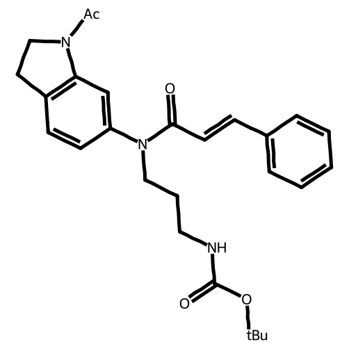 CC(=O)N1CCc2ccc(N(CCCNC(=O)OC(C)(C)C)C(=O)/C=C/c3ccccc3)cc21